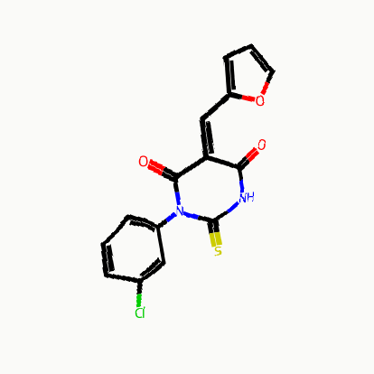 O=C1NC(=S)N(c2cccc(Cl)c2)C(=O)/C1=C/c1ccco1